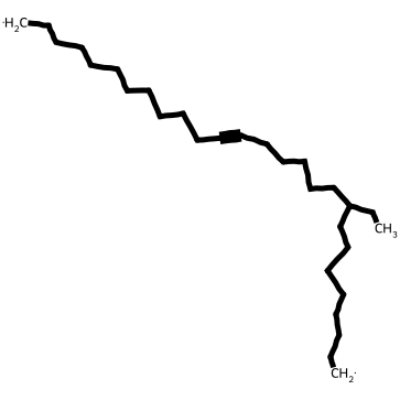 [CH2]CCCCCCCCCCC#CCCCCCC(CC)CCCCCCC[CH2]